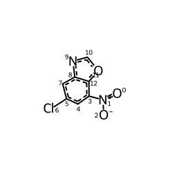 O=[N+]([O-])c1cc(Cl)cc2ncoc12